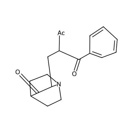 CC(=O)C(CC1C(=O)C2CCN1CC2)C(=O)c1ccccc1